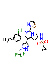 Cc1ccc([C@@H]2N=C(c3nccs3)N3C[C@@H](NS(=O)(=O)C4CC4)CC3=C2c2cnn(CC(F)(F)F)c2)c(Cl)c1